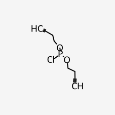 C#CCCOP(Cl)OCCC#C